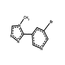 Cn1cnnc1-c1cncc(Br)c1